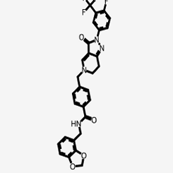 O=C(NCc1cccc2c1OCO2)c1ccc(CN2C=C3C(=O)N(c4ccc(F)c(C(F)(F)F)c4)N=C3CC2)cc1